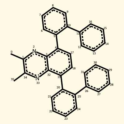 Cc1nc2c(-c3ccccc3-c3ccccc3)ccc(-c3ccccc3-c3ccccc3)c2nc1C